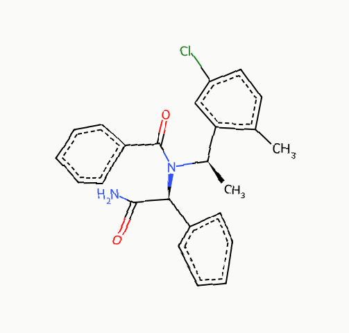 Cc1ccc(Cl)cc1[C@@H](C)N(C(=O)c1ccccc1)[C@H](C(N)=O)c1ccccc1